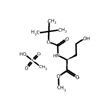 COC(=O)[C@H](CCO)NC(=O)OC(C)(C)C.CS(=O)(=O)O